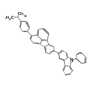 CC(C)c1ccc(-c2ccc3c4c(cccc24)-c2cc(-c4ccc5c(c4)c4ccccc4n5-c4ccccc4)ccc2-3)cc1